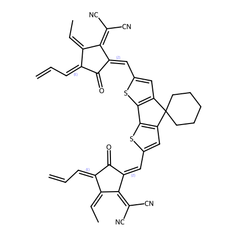 C=C/C=C1/C(=O)/C(=C\c2cc3c(s2)-c2sc(/C=C4\C(=O)/C(=C/C=C)C(=CC)C4=C(C#N)C#N)cc2C32CCCCC2)C(=C(C#N)C#N)C1=CC